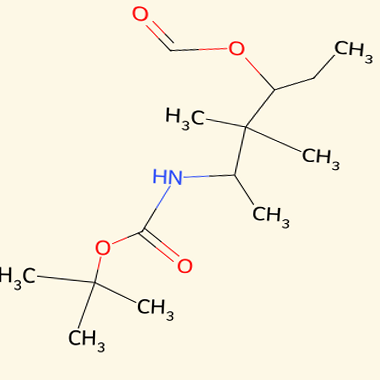 CCC(OC=O)C(C)(C)C(C)NC(=O)OC(C)(C)C